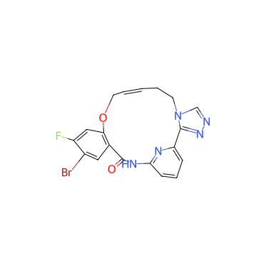 O=C1Nc2cccc(n2)-c2nncn2CC/C=C\COc2cc(F)c(Br)cc21